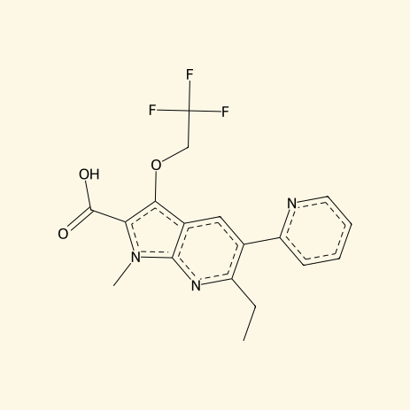 CCc1nc2c(cc1-c1ccccn1)c(OCC(F)(F)F)c(C(=O)O)n2C